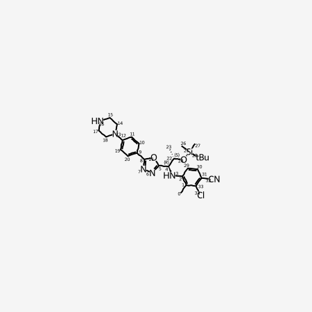 Cc1c(N[C@@H](c2nnc(-c3ccc(N4CCNCC4)cc3)o2)[C@H](C)O[Si](C)(C)C(C)(C)C)ccc(C#N)c1Cl